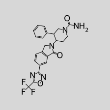 NC(=O)N1CCC(N2Cc3ccc(-c4noc(C(F)(F)F)n4)cc3C2=O)C(c2ccccc2)C1